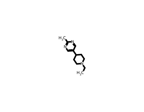 CCN1CCC(c2cnc(C)nc2)CC1